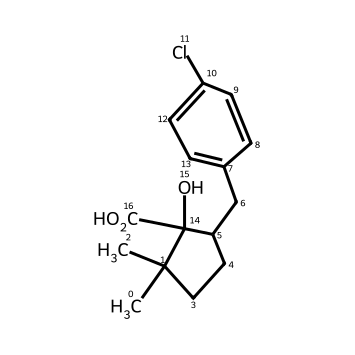 CC1(C)CCC(Cc2ccc(Cl)cc2)C1(O)C(=O)O